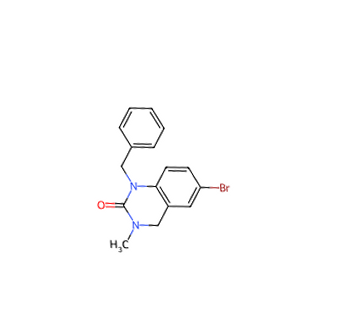 CN1Cc2cc(Br)ccc2N(Cc2ccccc2)C1=O